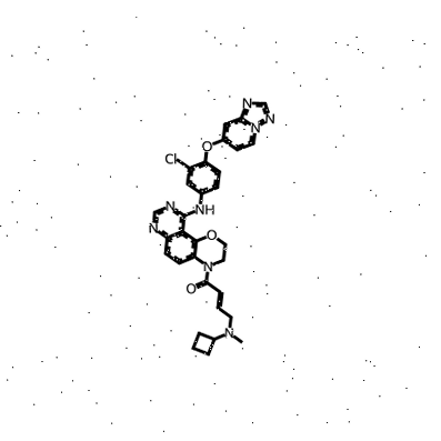 CN(C/C=C/C(=O)N1CCOc2c1ccc1ncnc(Nc3ccc(Oc4ccn5ncnc5c4)c(Cl)c3)c21)C1CCC1